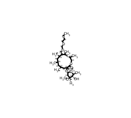 COCCOCON=C1C(C)CC(C)COC(=O)C(C)(O[C@@H]2C[C@@](C)(OC)[C@@H](O)[C@H](C)O2)CC(C)CC(C)CC1C